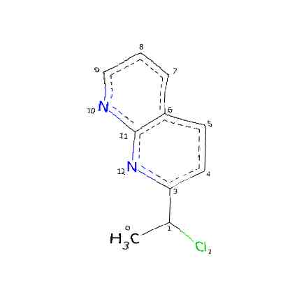 CC(Cl)c1ccc2cccnc2n1